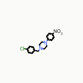 O=[N+]([O-])c1ccc(N2CCN(Cc3ccc(Cl)cc3)CC2)cc1